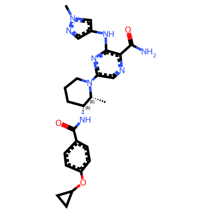 C[C@@H]1[C@H](NC(=O)c2ccc(OC3CC3)cc2)CCCN1c1cnc(C(N)=O)c(Nc2cnn(C)c2)n1